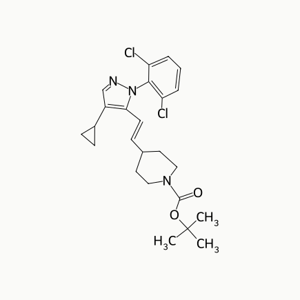 CC(C)(C)OC(=O)N1CCC(C=Cc2c(C3CC3)cnn2-c2c(Cl)cccc2Cl)CC1